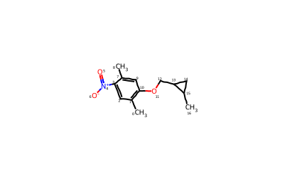 Cc1cc([N+](=O)[O-])c(C)cc1OCC1CC1C